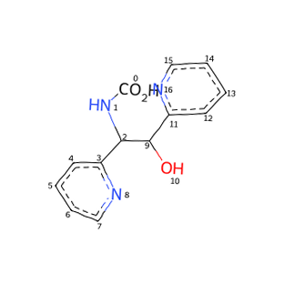 O=C(O)NC(c1ccccn1)C(O)c1ccccn1